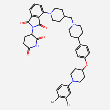 N#Cc1ccc(N2CCC(Oc3ccc(C4CCN(CC5CCN(c6cccc7c6C(=O)N(C6CCC(=O)NC6=O)C7=O)CC5)CC4)cc3)CC2)cc1Cl